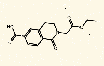 CCOC(=O)CN1CCc2cc(C(=O)O)ccc2C1=O